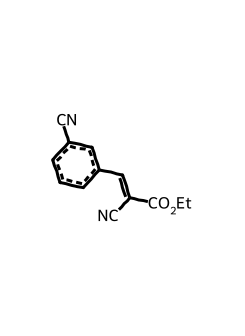 CCOC(=O)C(C#N)=Cc1cccc(C#N)c1